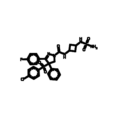 NS(=O)(=O)NC1CC(NC(=O)N2CC(c3ccccc3)(S(=O)(=O)c3ccc(Cl)cc3)C(c3ccc(F)cc3)=N2)C1